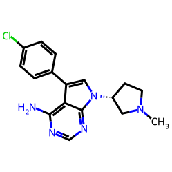 CN1CC[C@@H](n2cc(-c3ccc(Cl)cc3)c3c(N)ncnc32)C1